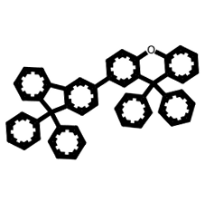 c1ccc(C2(c3ccccc3)c3ccccc3Oc3ccc(-c4ccc5c(c4)-c4ccccc4C5(c4ccccc4)c4ccccc4)cc32)cc1